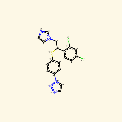 Clc1ccc(C(Cn2ccnc2)Sc2ccc(-n3ccnn3)cc2)c(Cl)c1